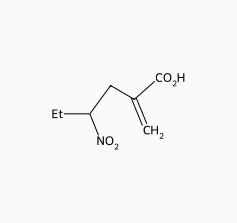 C=C(CC(CC)[N+](=O)[O-])C(=O)O